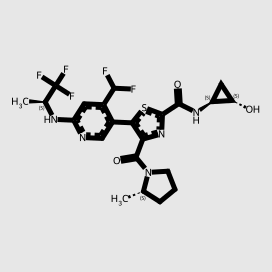 C[C@H](Nc1cc(C(F)F)c(-c2sc(C(=O)N[C@H]3C[C@@H]3O)nc2C(=O)N2CCC[C@@H]2C)cn1)C(F)(F)F